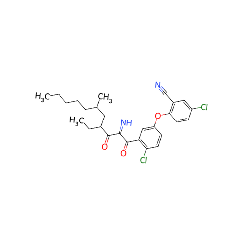 CCCCCC(C)CC(CC)C(=O)C(=N)C(=O)c1cc(Oc2ccc(Cl)cc2C#N)ccc1Cl